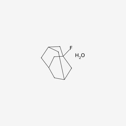 FC12CC3CC(CC(C3)C1)C2.O